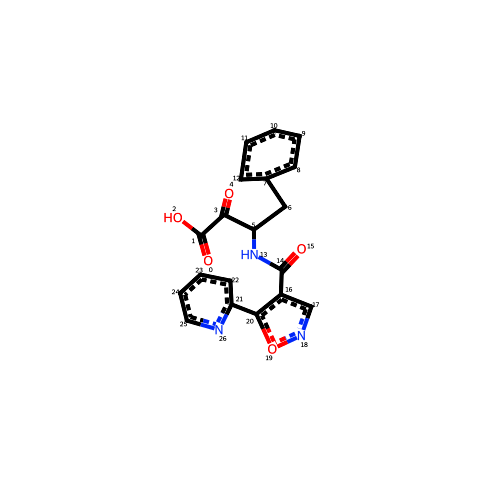 O=C(O)C(=O)C(Cc1ccccc1)NC(=O)c1cnoc1-c1ccccn1